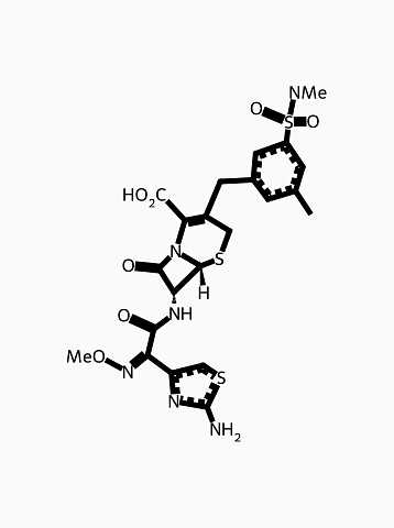 CNS(=O)(=O)c1cc(C)cc(CC2=C(C(=O)O)N3C(=O)[C@@H](NC(=O)/C(=N\OC)c4csc(N)n4)[C@H]3SC2)c1